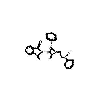 O=C1[C@H](N2C(=O)c3ccccc3C2=O)[C@H](c2ccccc2)N1CC[S+]([O-])c1ccccc1